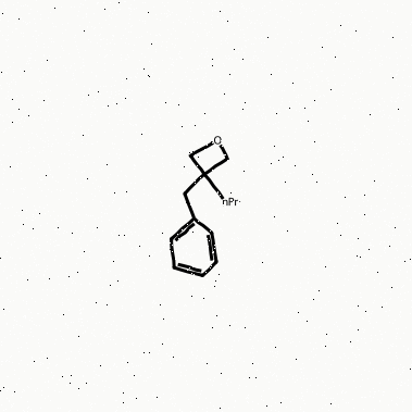 CC[CH]C1(Cc2ccccc2)COC1